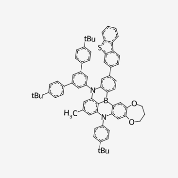 Cc1cc2c3c(c1)N(c1ccc(C(C)(C)C)cc1)c1cc4c(cc1B3c1ccc(-c3ccc5c(c3)sc3ccccc35)cc1N2c1cc(-c2ccc(C(C)(C)C)cc2)cc(-c2ccc(C(C)(C)C)cc2)c1)OCCCO4